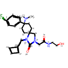 CN(C)[C@]1(c2ccc(F)cc2)CC[C@@]2(CC1)CN(CC(=O)NCCO)C(=O)N2CC1CCC1